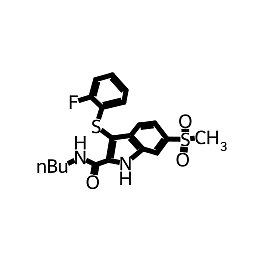 CCCCNC(=O)c1[nH]c2cc(S(C)(=O)=O)ccc2c1Sc1ccccc1F